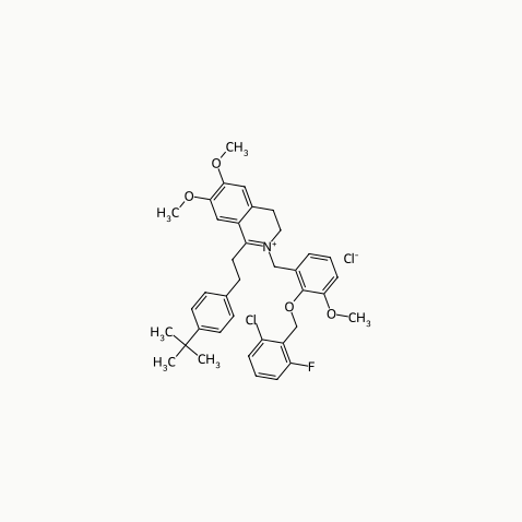 COc1cc2c(cc1OC)C(CCc1ccc(C(C)(C)C)cc1)=[N+](Cc1cccc(OC)c1OCc1c(F)cccc1Cl)CC2.[Cl-]